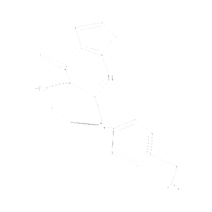 N#CCc1ccc(N2CCC3(O)C(=O)c4ccsc4N=C23)cc1